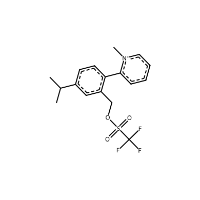 CC(C)c1ccc(-c2cccc[n+]2C)c(COS(=O)(=O)C(F)(F)F)c1